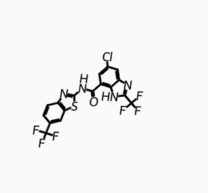 O=C(Nc1nc2ccc(C(F)(F)F)cc2s1)c1cc(Cl)cc2nc(C(F)(F)F)[nH]c12